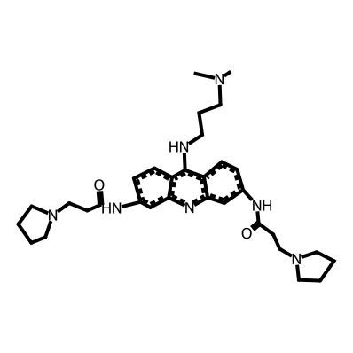 CN(C)CCCNc1c2ccc(NC(=O)CCN3CCCC3)cc2nc2cc(NC(=O)CCN3CCCC3)ccc12